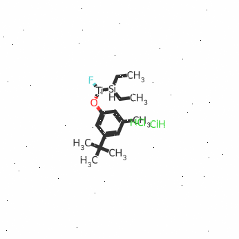 CC[SiH](CC)[Ti]([F])[O]c1cc(C)cc(C(C)(C)C)c1.Cl.Cl